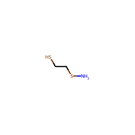 NSCCS